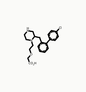 O=C(O)COCCN1CCNCC1Cc1ccccc1-c1ccc(Cl)cc1